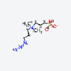 C[N+](C)(CCCN=[N+]=[N-])CCCS(=O)(=O)[O-]